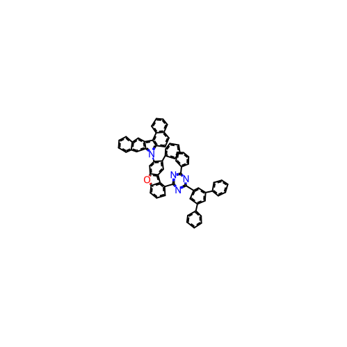 c1ccc(-c2cc(-c3ccccc3)cc(-c3nc(-c4ccccc4)nc(-c4cccc5oc6cc(-n7c8cc9ccccc9cc8c8c9ccccc9ccc87)c(-c7ccccc7)cc6c45)n3)c2)cc1